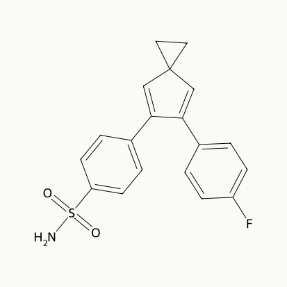 NS(=O)(=O)c1ccc(C2=CC3(C=C2c2ccc(F)cc2)CC3)cc1